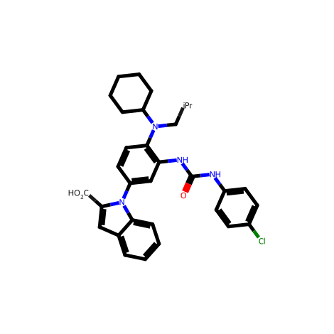 CC(C)CN(c1ccc(-n2c(C(=O)O)cc3ccccc32)cc1NC(=O)Nc1ccc(Cl)cc1)C1CCCCC1